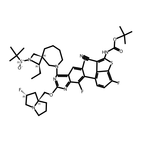 CC[C@H]1N([S@+]([O-])C(C)(C)C)C[C@]12CCCCN(c1nc(OC[C@@]34CCCN3C[C@H](F)C4)nc3c(F)c(-c4ccc(F)c5sc(NC(=O)OC(C)(C)C)c(C#N)c45)c(Cl)cc13)C2